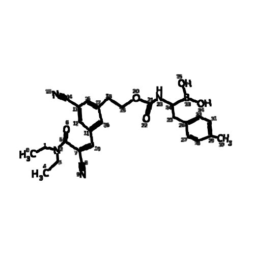 CCN(CC)C(=O)C(C#N)=Cc1cc(C#N)cc(CCOC(=O)NC(Cc2ccc(C)cc2)B(O)O)c1